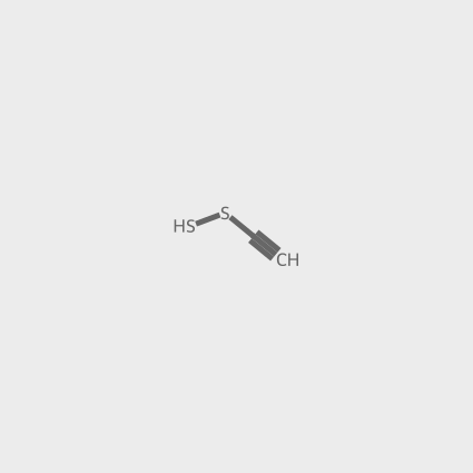 C#CSS